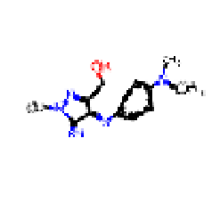 CN(C)c1ccc(N=C2C(=N)N(C(C)(C)C)N=C2CO)cc1